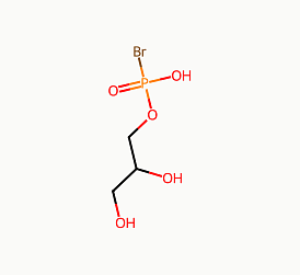 O=P(O)(Br)OCC(O)CO